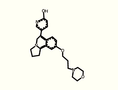 Oc1ccc(C2=c3ccc(OCCCN4CCOCC4)cc3=C3CCCN3C2)cn1